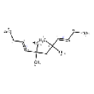 CC(=O)OC/C=C/C(C)(C)CC(C)(C)/C=C/COC(C)=O